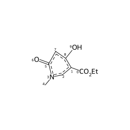 CCOC(=O)c1cn(C)c(=O)cc1O